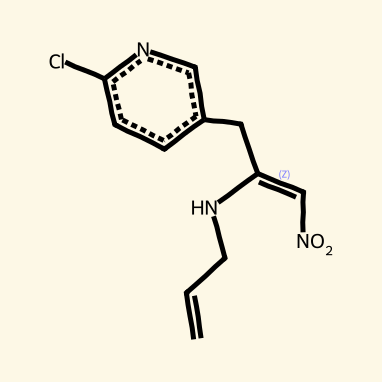 C=CCN/C(=C\[N+](=O)[O-])Cc1ccc(Cl)nc1